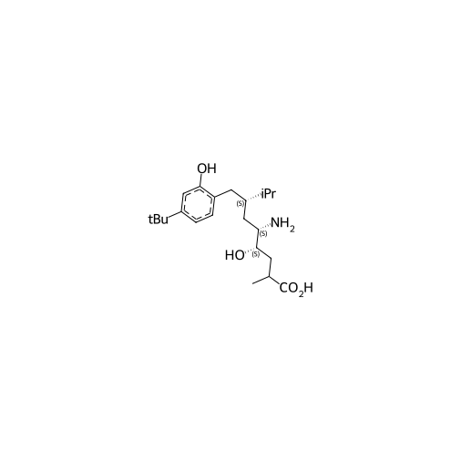 CC(C[C@H](O)[C@@H](N)C[C@H](Cc1ccc(C(C)(C)C)cc1O)C(C)C)C(=O)O